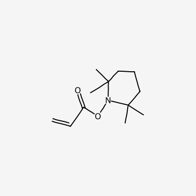 C=CC(=O)ON1C(C)(C)CCCC1(C)C